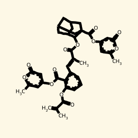 C=C(C)C(=O)Oc1cccc(/C=C(\C)C(=O)OC2C3CC4CC(C3)CC2(C(=O)Oc2cc(C)oc(=O)c2)C4)c1C(=O)Oc1cc(C)oc(=O)c1